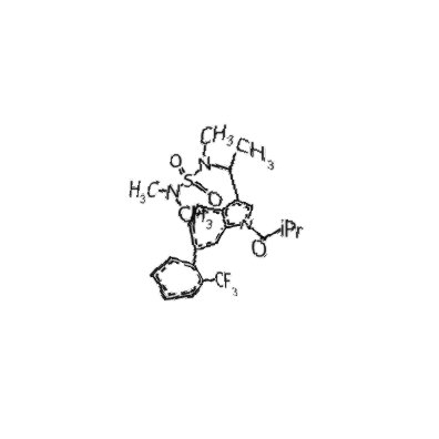 CC(C)C(=O)n1cc(C(C)N(C)S(=O)(=O)N(C)C)c2ccc(-c3ccccc3C(F)(F)F)cc21